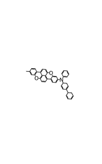 Cc1ccc2c(c1)Oc1ccc3c4c(ccc-2c14)Oc1cc(N(c2ccccc2)C2C=CC(C4C=CC=CC4)=CC2)ccc1-3